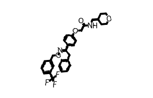 O=C(COc1ccc(/C(Cc2ccccc2)=N/OCc2cccc(C(F)(F)F)c2)cc1)NCC1CCOCC1